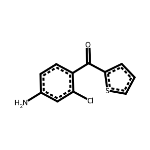 Nc1ccc(C(=O)c2cccs2)c(Cl)c1